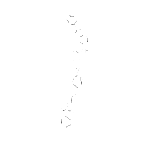 Cc1ccc(S(=O)(=O)OCCCc2cnc(N3CCN(C(=O)Nc4ccc5oc(-c6ccccc6)cc5c4)CC3)nc2)cc1